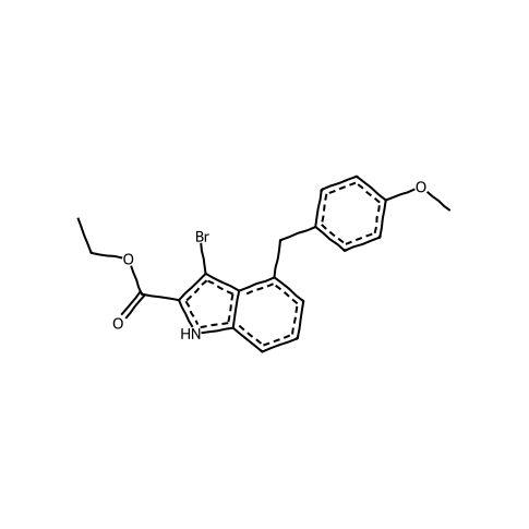 CCOC(=O)c1[nH]c2cccc(Cc3ccc(OC)cc3)c2c1Br